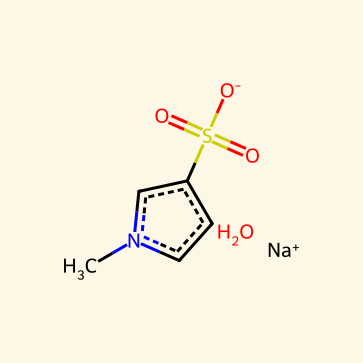 Cn1ccc(S(=O)(=O)[O-])c1.O.[Na+]